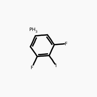 Fc1cccc(F)c1I.P